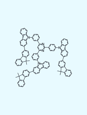 CC1(C)c2ccccc2-c2cc(-c3ccc4c5ccccc5n(-c5ccc(-c6nc(-c7cccc(-n8c9ccccc9c9ccc(-c%10ccc%11c(c%10)-c%10ccccc%10C%11(C)C)cc98)c7)cc(-c7cccc(-n8c9ccccc9c9ccc(-c%10ccc%11c(c%10)-c%10ccccc%10C%11(C)C)cc98)c7)n6)cc5)c4c3)ccc21